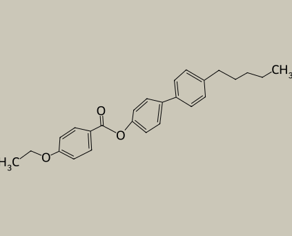 CCCCCc1ccc(-c2ccc(OC(=O)c3ccc(OCC)cc3)cc2)cc1